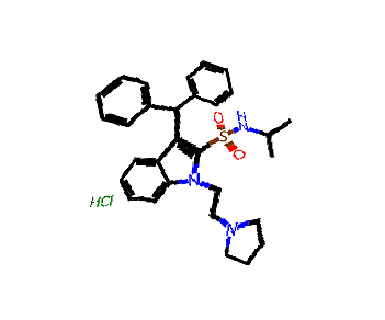 CC(C)NS(=O)(=O)c1c(C(c2ccccc2)c2ccccc2)c2ccccc2n1CCN1CCCC1.Cl